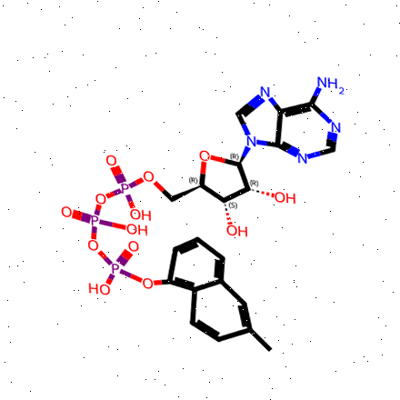 Cc1ccc2c(OP(=O)(O)OP(=O)(O)OP(=O)(O)OC[C@H]3O[C@@H](n4cnc5c(N)ncnc54)[C@H](O)[C@@H]3O)cccc2c1